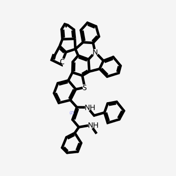 CNC(/C=C(\NCc1ccccc1)c1cccc2c1sc1c2cc2c3c1c1ccccc1n3-c1ccccc1C21C2=C(C=CCC2)c2ccccc21)c1ccccc1